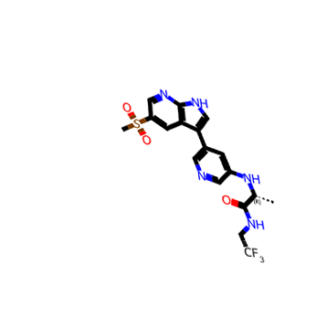 C[C@@H](Nc1cncc(-c2c[nH]c3ncc(S(C)(=O)=O)cc23)c1)C(=O)NCC(F)(F)F